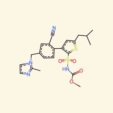 COC(=O)NS(=O)(=O)c1sc(CC(C)C)cc1-c1ccc(Cn2ccnc2C)cc1C#N